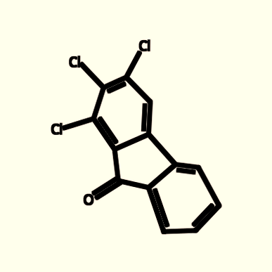 O=C1c2ccccc2-c2cc(Cl)c(Cl)c(Cl)c21